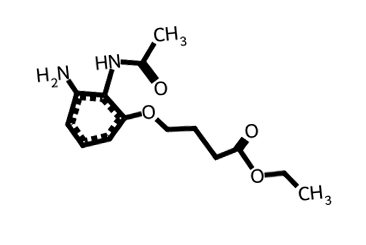 CCOC(=O)CCCOc1cccc(N)c1NC(C)=O